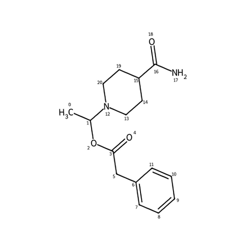 CC(OC(=O)Cc1ccccc1)N1CCC(C(N)=O)CC1